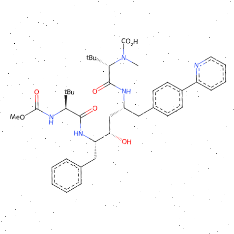 COC(=O)N[C@H](C(=O)N[C@@H](Cc1ccccc1)[C@@H](O)C[C@@H](Cc1ccc(-c2ccccn2)cc1)NC(=O)[C@@H](N(C)C(=O)O)C(C)(C)C)C(C)(C)C